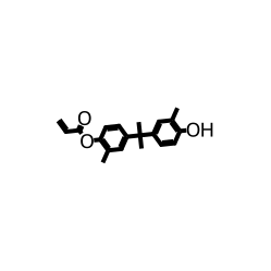 C=CC(=O)Oc1ccc(C(C)(C)c2ccc(O)c(C)c2)cc1C